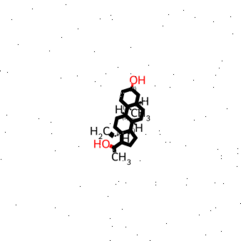 C=C[C@]12CC[C@H]3[C@@H](CC[C@H]4C[C@H](O)CC[C@@]43C)[C@@H]1CCC2C(C)O